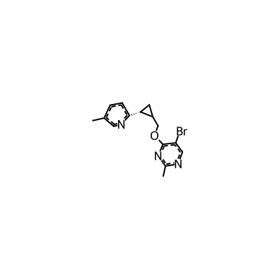 Cc1ccc([C@@H]2CC2COc2nc(C)ncc2Br)nc1